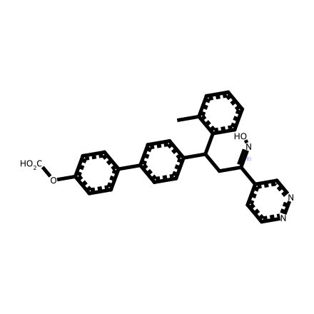 Cc1ccccc1C(C/C(=N\O)c1ccnnc1)c1ccc(-c2ccc(OC(=O)O)cc2)cc1